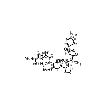 CC[C@H](C)[C@@H]([C@@H](CC(=O)N1CCC[C@H]1[C@H](OC)[C@@H](C)C(=O)NS(=O)(=O)c1ccc(N)cc1)OC)N(C)C(=O)[C@@H](NC(=O)[C@@H](NC)C(C)C)C(C)C